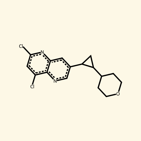 Clc1cc(Cl)c2ncc(C3CC3C3CCOCC3)cc2n1